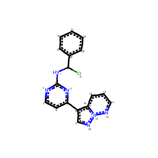 ClC(Nc1nccc(-c2cnn3ncccc23)n1)c1ccccc1